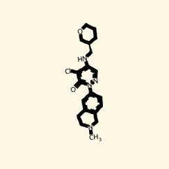 CN1CCc2cc(-n3ncc(NC[C@@H]4CCCOC4)c(Cl)c3=O)ccc2C1